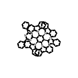 c1ccc(-c2nc(-c3ccccc3)nc(-c3c(-n4c5ccccc5c5cccnc54)c(-n4c5ccccc5c5cccnc54)c(-c4nc5ccccc5o4)c(-n4c5ccccc5c5cccnc54)c3-n3c4ccccc4c4cccnc43)n2)cc1